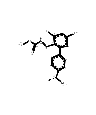 C[C@@H](N)c1ccc(-c2cc(F)cc(F)c2CNC(=O)OC(C)(C)C)cc1